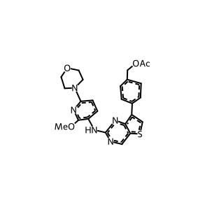 COc1nc(N2CCOCC2)ccc1Nc1ncc2scc(-c3ccc(COC(C)=O)cc3)c2n1